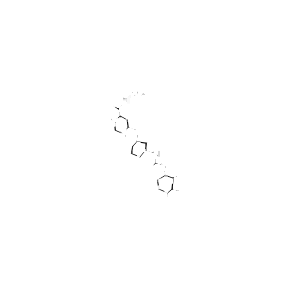 CONC(=O)c1cc(Oc2cccc(NC(=O)Nc3ccc(Cl)c(Cl)c3Cl)c2)ncn1